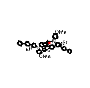 CCn1c2cc(-c3ccccc3)ccc2c2ccc(N(c3ccc(OC)cc3)c3ccc4c(c3)C3(c5ccccc5Sc5ccccc53)c3cc(N(c5ccc(OC)cc5)c5ccc6c7ccc(-c8ccccc8)cc7n(CC)c6c5)ccc3-4)cc21